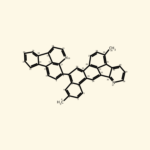 Cc1ccc2c(c1)c(-c1ccc3c4c(ccnc14)-c1ccccc1-3)cc1c3ccc(C)c4c3c(cc21)-c1ncccc1-4